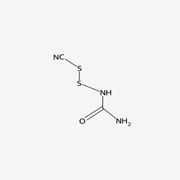 N#CSSNC(N)=O